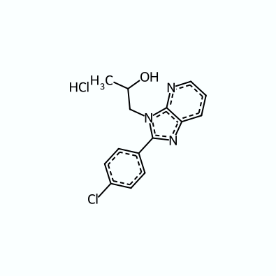 CC(O)Cn1c(-c2ccc(Cl)cc2)nc2cccnc21.Cl